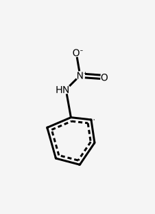 O=[N+]([O-])Nc1[c]cccc1